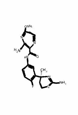 COc1cnc(C(=O)Nc2ccc(F)c([C@]3(C)CCSC(N)=N3)c2)c(N)n1